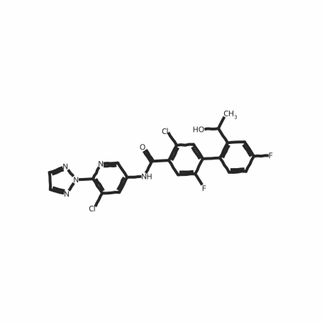 CC(O)c1cc(F)ccc1-c1cc(Cl)c(C(=O)Nc2cnc(-n3nccn3)c(Cl)c2)cc1F